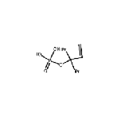 C=CC(OP(=O)(O)O)(C(C)C)C(C)C